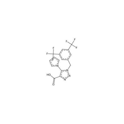 O=C(O)c1nnn(Cc2cc(C(F)(F)F)cc(C(F)(F)F)c2)c1-n1cccc1